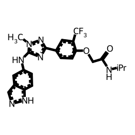 CC(C)NC(=O)COc1ccc(-c2nc(Nc3ccc4[nH]ncc4c3)n(C)n2)cc1C(F)(F)F